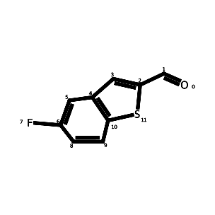 O=Cc1cc2cc(F)ccc2s1